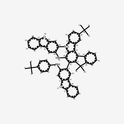 CC(C)(C)c1ccc(Nc2cc3oc4ccccc4c3cc2-c2c3c(c4c5cc(C(C)(C)C)ccc5n5c4c2Bc2cc4c(cc2-5)oc2ccccc24)-c2ccccc2C3(C)C)cc1